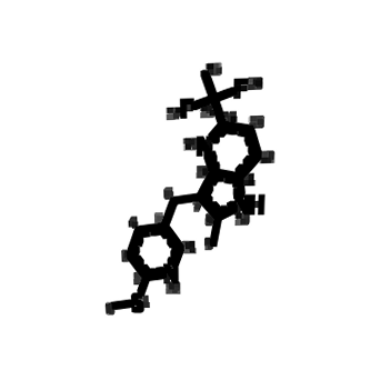 CSc1ccc(Cc2c(C)[nH]c3ccc(C(C)(F)F)nc23)cn1